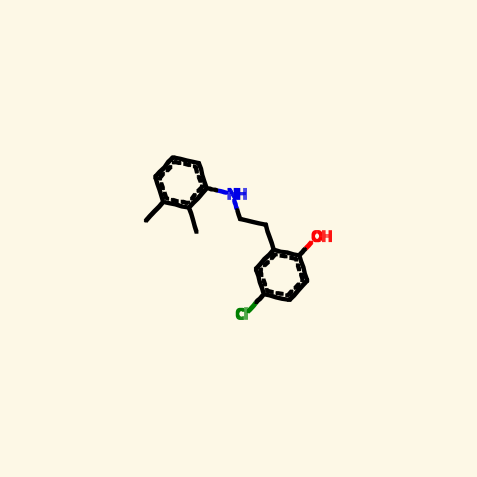 Cc1cccc(NCCc2cc(Cl)ccc2O)c1C